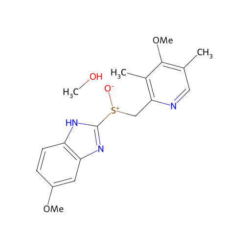 CO.COc1ccc2[nH]c([S+]([O-])Cc3ncc(C)c(OC)c3C)nc2c1